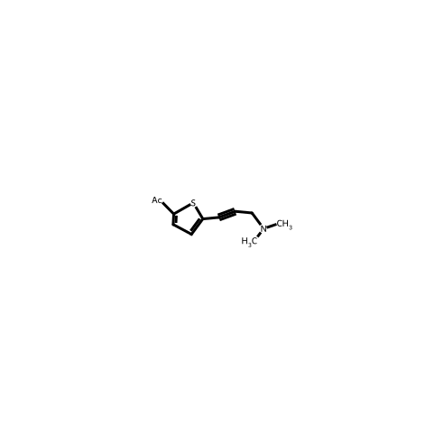 CC(=O)c1ccc(C#CCN(C)C)s1